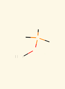 C[P+](C)(C)O[SiH3].[Cl-]